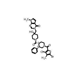 Cc1c(Br)sc(C(=O)N2CC[C@@H](C(=O)N3CCC(O)(Cn4cnc5c(ccn5C)c4=O)CC3)[C@H](c3ccccc3)C2)c1Cl